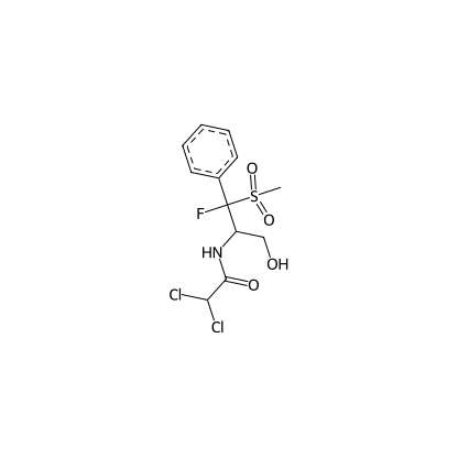 CS(=O)(=O)C(F)(c1ccccc1)C(CO)NC(=O)C(Cl)Cl